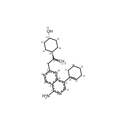 C=C(Cc1ncc2c(N)ncc(C3=CCCCC3)c2n1)[C@H]1CC[C@H](O)CC1